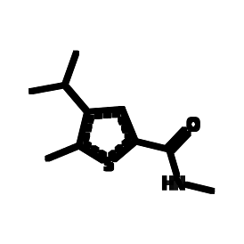 CNC(=O)c1cc(C(C)C)c(C)s1